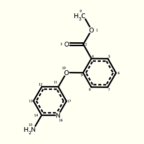 COC(=O)c1ccccc1Oc1ccc(N)nc1